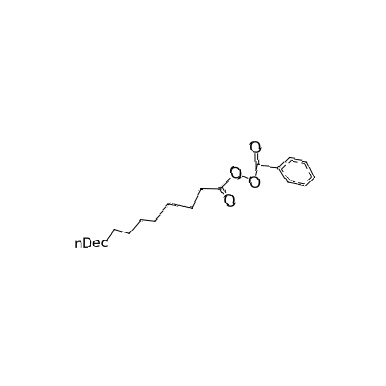 CCCCCCCCCCCCCCCCCC(=O)OOC(=O)c1ccccc1